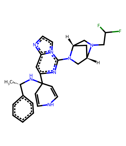 C[C@H](NC1(c2cc3nccn3c(N3C[C@@H]4C[C@H]3CN4CC(F)F)n2)C=CNC=C1)c1ccccc1